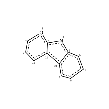 c1coc2nc3ccccc3c-2c1